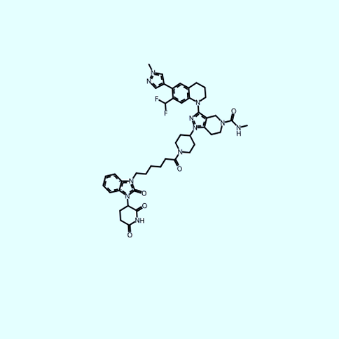 CNC(=O)N1CCc2c(c(N3CCCc4cc(-c5cnn(C)c5)c(C(F)F)cc43)nn2C2CCN(C(=O)CCCCCn3c(=O)n(C4CCC(=O)NC4=O)c4ccccc43)CC2)C1